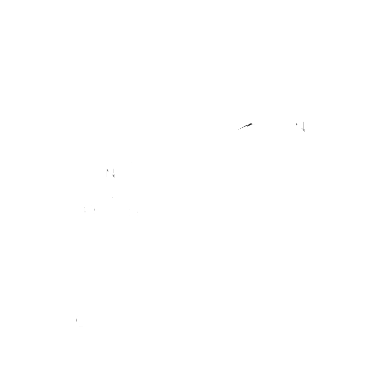 C=CCN(C)CC[C@H]1CC[C@H](CCN(C)C(=O)Oc2ccc(Cl)cc2)CC1